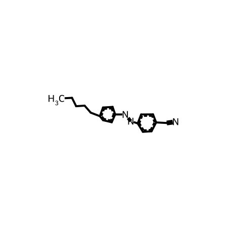 CCCCCc1ccc(N=Nc2ccc(C#N)cc2)cc1